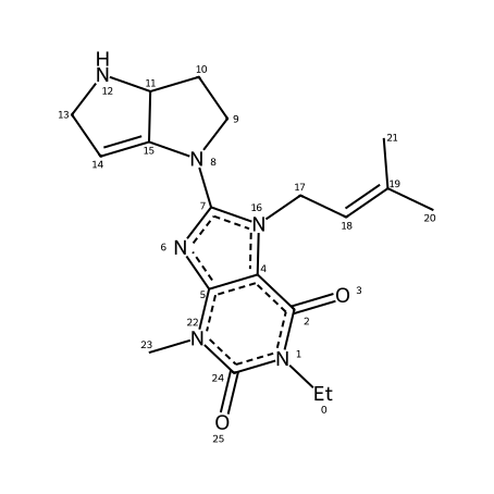 CCn1c(=O)c2c(nc(N3CCC4NCC=C43)n2CC=C(C)C)n(C)c1=O